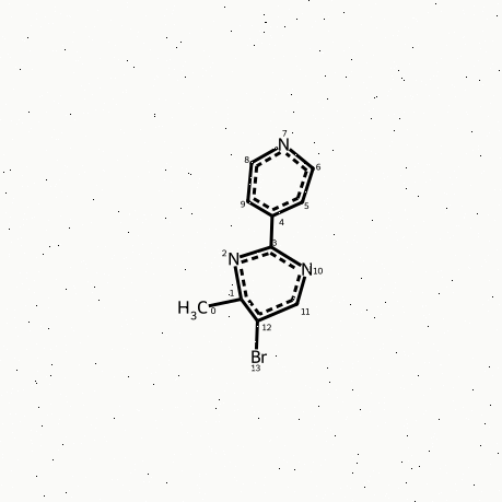 Cc1nc(-c2ccncc2)ncc1Br